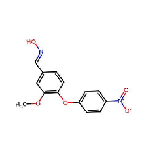 COc1cc(C=NO)ccc1Oc1ccc([N+](=O)[O-])cc1